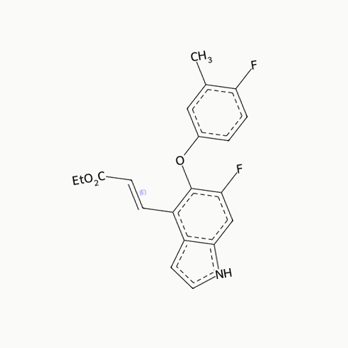 CCOC(=O)/C=C/c1c(Oc2ccc(F)c(C)c2)c(F)cc2[nH]ccc12